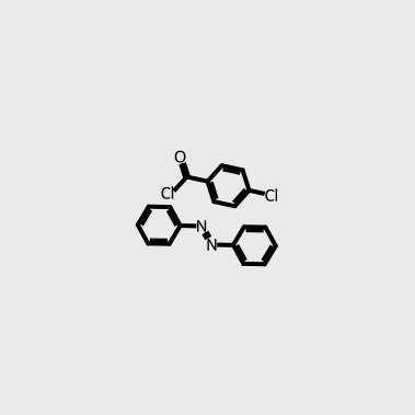 O=C(Cl)c1ccc(Cl)cc1.c1ccc(N=Nc2ccccc2)cc1